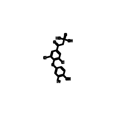 CC(C)c1cc(Oc2c(Cl)cc(C(=O)CP(=O)(O)O)cc2Cl)ccc1O